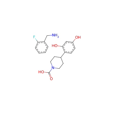 NCc1ccccc1F.O=C(O)N1CCC(c2ccc(O)cc2O)CC1